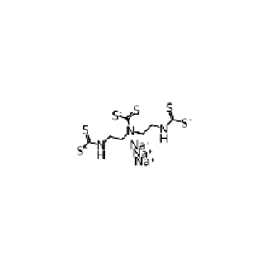 S=C([S-])NCCN(CCNC(=S)[S-])C(=S)[S-].[Na+].[Na+].[Na+]